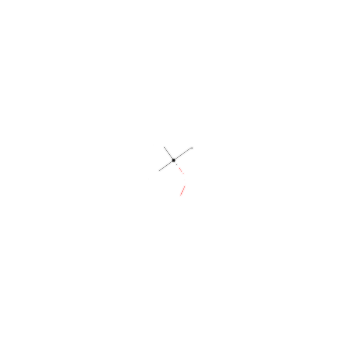 CC(C)C(C)(C)OO